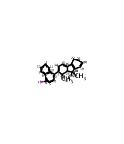 CC1C(c2ccc(I)c3ccccc23)=CC=C2C3=C(C=CCC3)C(C)(C)C21